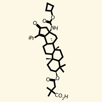 CC(C)C1=C2C3CCC4[C@@]5(C)CC[C@H](OC(=O)CC(C)(C)C(=O)O)C(C)(C)C5CC[C@@]4(C)[C@]3(C)CC[C@@]2(NC(=O)OC2CCC2)CC1=O